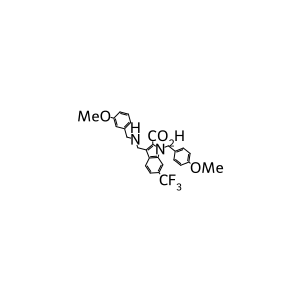 COc1ccc(Cn2c(C(=O)O)c(CNCc3cccc(OC)c3)c3ccc(C(F)(F)F)cc32)cc1